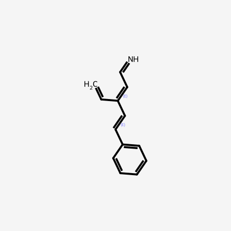 C=CC(/C=C/c1ccccc1)=C\C=N